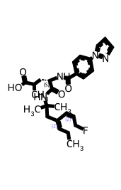 CC/C=C(\C=C/CF)CC(C)(C)NC(=O)[C@H](CC(C)C(=O)O)NC(=O)c1ccc(-n2cccn2)cc1